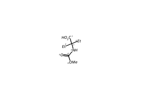 CCC(CC)(NC(=O)OC)C(=O)O